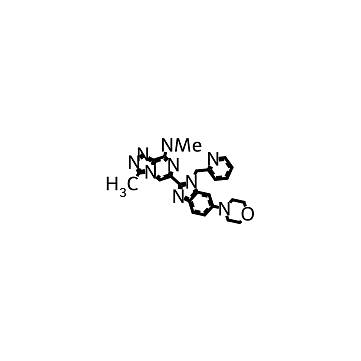 CNc1nc(-c2nc3ccc(N4CCOCC4)cc3n2Cc2ccccn2)cn2c(C)nnc12